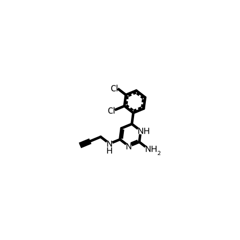 C#CCNC1=CC(c2cccc(Cl)c2Cl)NC(N)=N1